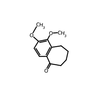 COc1ccc2c(c1OC)CCCCC2=O